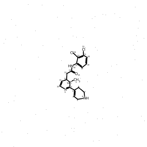 C[C@H]1C(C2=CCNCC2)=NC=CC1CC(=O)Nc1cccc(Cl)c1Cl